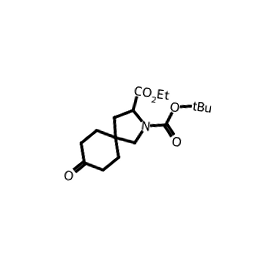 CCOC(=O)C1CC2(CCC(=O)CC2)CN1C(=O)OC(C)(C)C